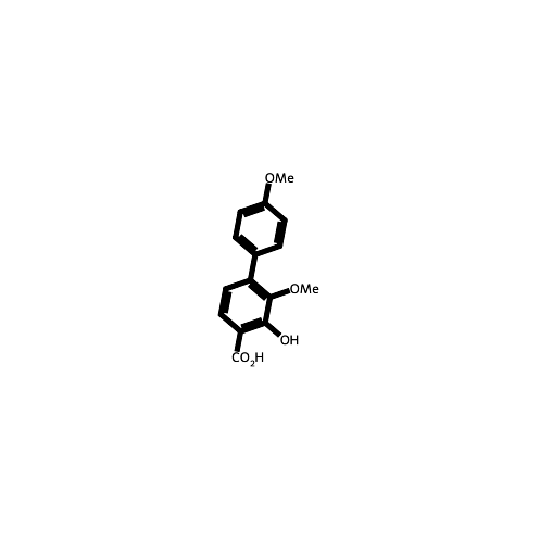 COc1ccc(-c2ccc(C(=O)O)c(O)c2OC)cc1